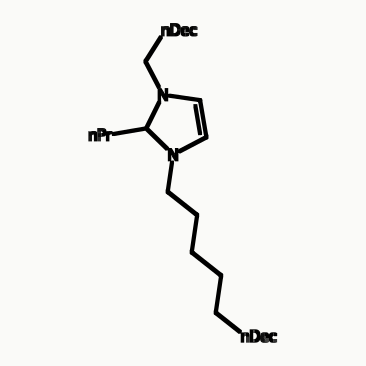 CCCCCCCCCCCCCCCN1C=CN(CCCCCCCCCCC)C1CCC